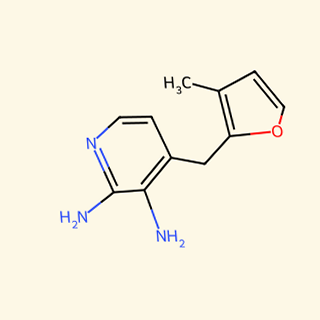 Cc1ccoc1Cc1ccnc(N)c1N